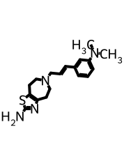 CN(C)c1cccc(/C=C/CN2CCc3nc(N)sc3CC2)c1